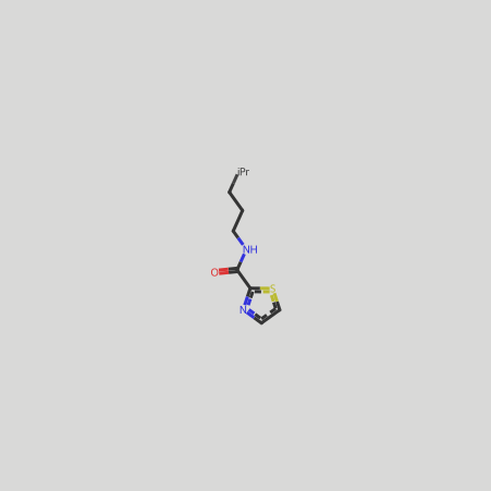 CC(C)CCCNC(=O)c1nccs1